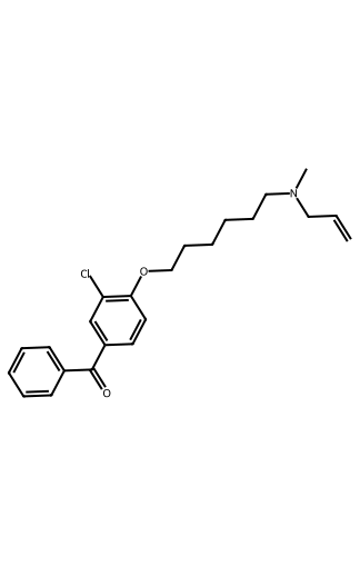 C=CCN(C)CCCCCCOc1ccc(C(=O)c2ccccc2)cc1Cl